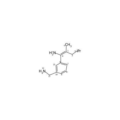 CC(CC(C)C)=C(N)c1cccc(CN)c1